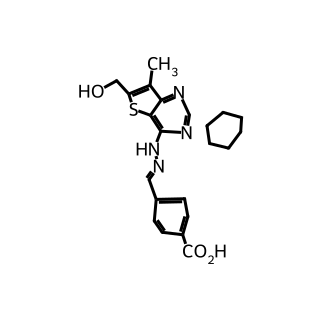 C1CCCCC1.Cc1c(CO)sc2c(NN=Cc3ccc(C(=O)O)cc3)ncnc12